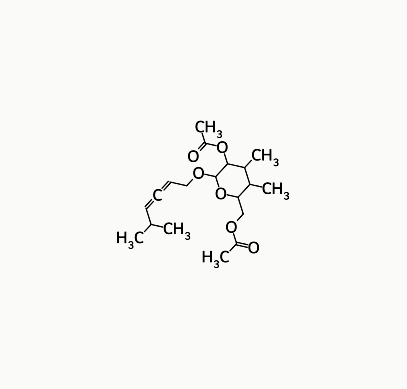 CC(=O)OCC1OC(OCC=C=CC(C)C)C(OC(C)=O)C(C)C1C